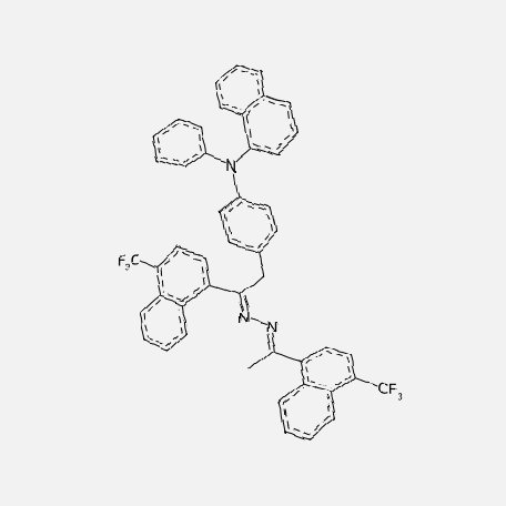 C/C(=N\N=C(/Cc1ccc(N(c2ccccc2)c2cccc3ccccc23)cc1)c1ccc(C(F)(F)F)c2ccccc12)c1ccc(C(F)(F)F)c2ccccc12